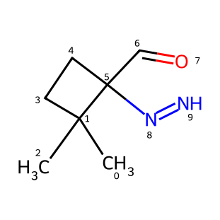 CC1(C)CCC1(C=O)N=N